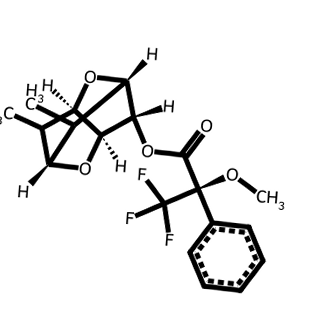 CO[C@@](C(=O)O[C@@H]1[C@H]2O[C@@H]3C(C)[C@H]2O[C@H]1C3C)(c1ccccc1)C(F)(F)F